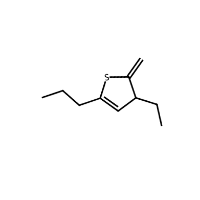 C=C1SC(CCC)=CC1CC